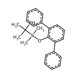 CC(C)(C)[Si](C)(C)Oc1c(-c2ccccc2)c[c]cc1-c1ccccc1